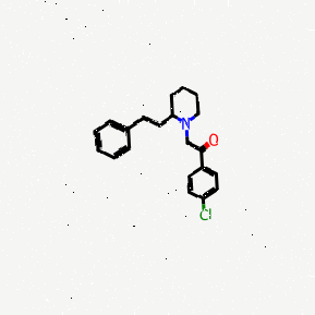 O=C(CN1CCCCC1CCc1ccccc1)c1ccc(Cl)cc1